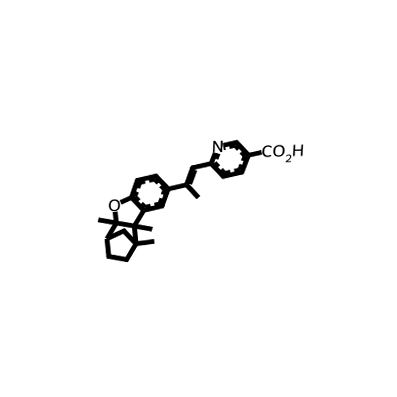 CC(=Cc1ccc(C(=O)O)cn1)c1ccc2c(c1)C1(C)C3(C)CCC(C3)C1(C)O2